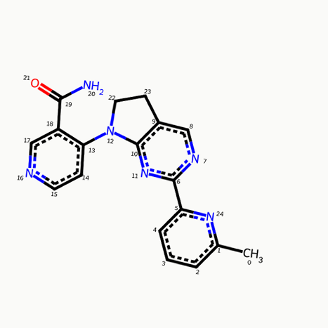 Cc1cccc(-c2ncc3c(n2)N(c2ccncc2C(N)=O)CC3)n1